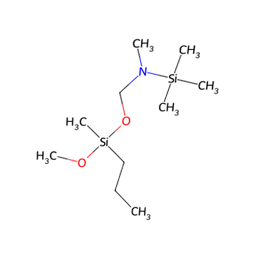 CCC[Si](C)(OC)OCN(C)[Si](C)(C)C